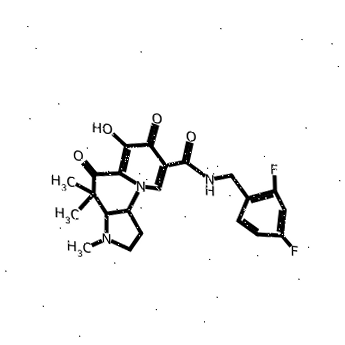 CN1CCC2C1C(C)(C)C(=O)c1c(O)c(=O)c(C(=O)NCc3ccc(F)cc3F)cn12